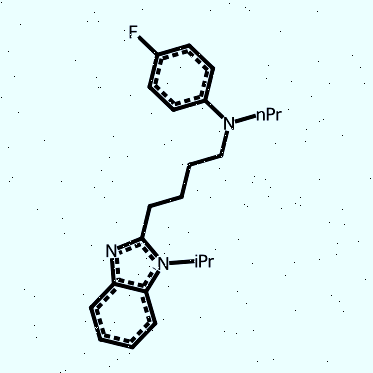 CCCN(CCCCc1nc2ccccc2n1C(C)C)c1ccc(F)cc1